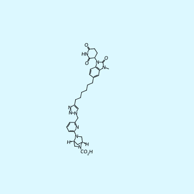 Cn1c(=O)n(C2CCC(=O)NC2=O)c2ccc(CCCCCCc3cn(Cc4cccc(N5C[C@H]6C[C@@H]5CN6C(=O)O)n4)nn3)cc21